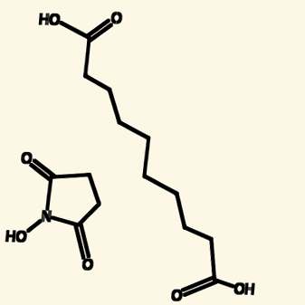 O=C(O)CCCCCCCCC(=O)O.O=C1CCC(=O)N1O